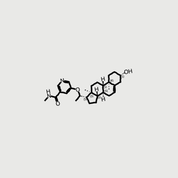 CNC(=O)c1cncc(OC(C)[C@H]2CC[C@H]3[C@@H]4CC=C5C[C@@H](O)CC[C@]5(C)[C@H]4CC[C@]23C)c1